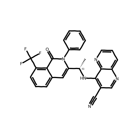 C[C@H](Nc1c(C#N)cnc2cccnc12)c1cc2cccc(C(F)(F)F)c2c(=O)n1-c1ccccc1